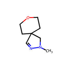 CN1CC2(C=N1)CCOCC2